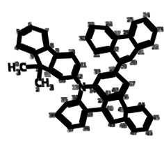 CC1(C)c2ccccc2-c2ccc(N(c3cccc(-c4cc5ccccc5c5ccccc45)c3)c3ccccc3-c3ccc4ccccc4c3)cc21